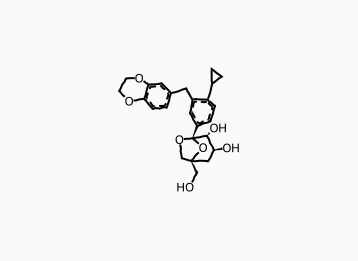 OC[C@@]12CO[C@@](c3ccc(C4CC4)c(Cc4ccc5c(c4)OCCO5)c3)(O1)[C@H](O)[C@@H](O)C2